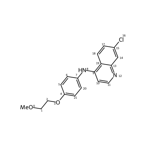 COCCOc1ccc(Nc2ccnc3cc(Cl)ccc23)cc1